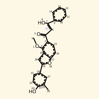 COc1c(C(=O)/C=C(\O)c2ccccc2)ccc2oc(-c3ccc(O)c(C)c3)cc12